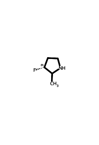 CC1NCC[C@H]1F